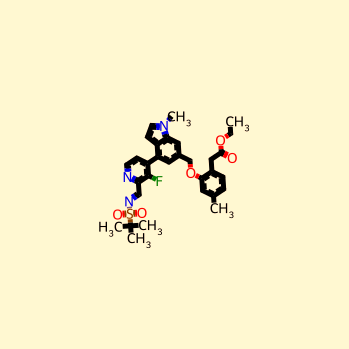 CCOC(=O)Cc1ccc(C)cc1OCc1cc(-c2ccnc(C=NS(=O)(=O)C(C)(C)C)c2F)c2ccn(C)c2c1